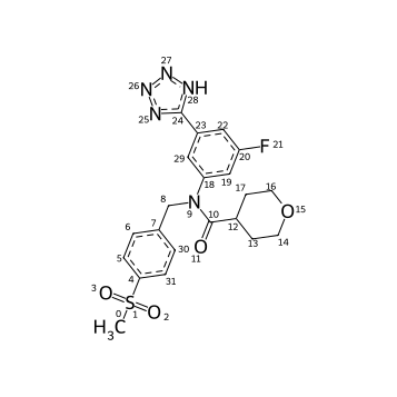 CS(=O)(=O)c1ccc(CN(C(=O)C2CCOCC2)c2cc(F)cc(-c3nnn[nH]3)c2)cc1